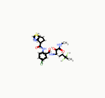 CNC(=O)C(=O)[C@H](CCC(C)(F)F)NC(=O)c1cc(Cl)ccc1NC(=O)C1CCc2scnc21